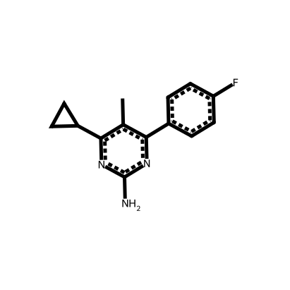 Cc1c(-c2ccc(F)cc2)nc(N)nc1C1CC1